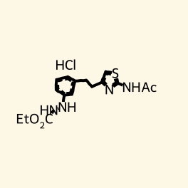 CCOC(=O)NNc1cccc(CCc2csc(NC(C)=O)n2)c1.Cl